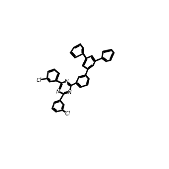 Clc1cccc(-c2nc(-c3cccc(Cl)c3)nc(-c3cccc(-c4cc(-c5ccccc5)cc(-c5ccccc5)c4)c3)n2)c1